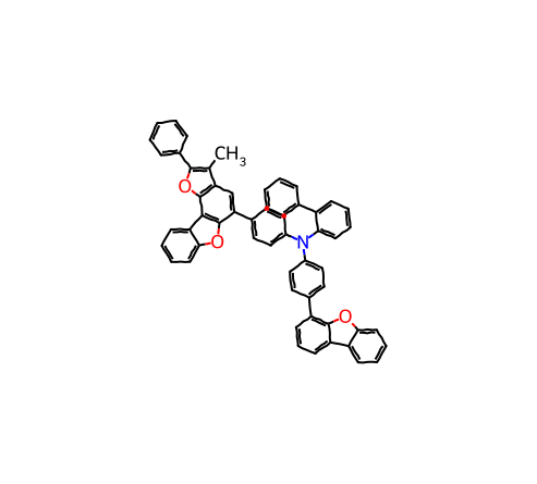 Cc1c(-c2ccccc2)oc2c1cc(-c1ccc(N(c3ccc(-c4cccc5c4oc4ccccc45)cc3)c3ccccc3-c3ccccc3)cc1)c1oc3ccccc3c12